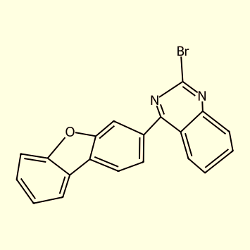 Brc1nc(-c2ccc3c(c2)oc2ccccc23)c2ccccc2n1